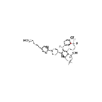 CC1(C)Cc2nc(C3CCN(c4ncc(CCCCC(=O)O)cn4)CC3)c(C(F)c3ccc(C(F)(F)F)cc3)c(C3CCC(F)(F)CC3)c2[C@@H](O)C1